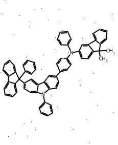 CC1(C)c2ccccc2-c2cc(N(c3ccccc3)c3ccc(-c4ccc5c(c4)c4cc(C6(c7ccccc7)c7ccccc7-c7ccccc76)ccc4n5-c4ccccc4)cc3)ccc21